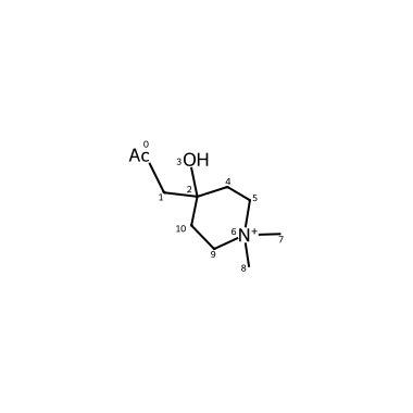 CC(=O)CC1(O)CC[N+](C)(C)CC1